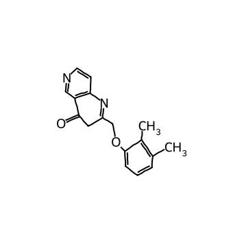 Cc1cccc(OCC2=Nc3ccncc3C(=O)C2)c1C